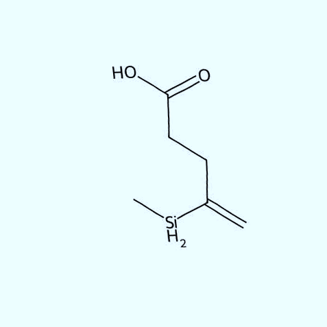 C=C(CCC(=O)O)[SiH2]C